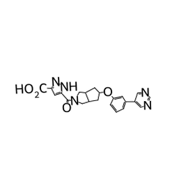 O=C(O)c1cc(C(=O)N2CC3CC(Oc4cccc(-c5cncnc5)c4)CC3C2)[nH]n1